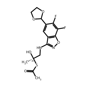 CC(=O)S[C@@](C)(O)CNc1noc2c(F)c(F)c(C3OCCO3)cc12